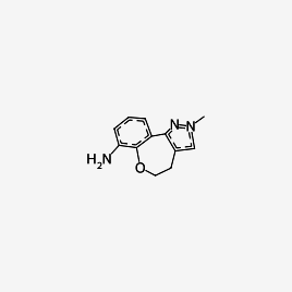 Cn1cc2c(n1)-c1cccc(N)c1OCC2